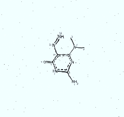 CN(C)c1nc(N)[nH]c(=O)c1N=N